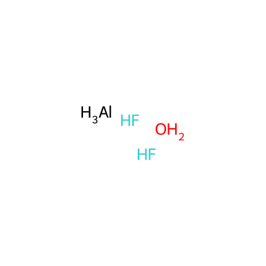 F.F.O.[AlH3]